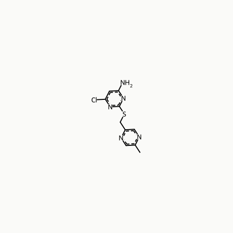 Cc1cnc(CSc2nc(N)cc(Cl)n2)cn1